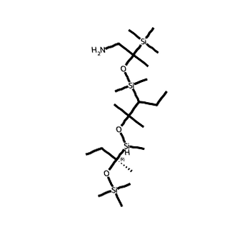 CCC(C(C)(C)O[SiH](C)[C@](C)(CC)O[Si](C)(C)C)[Si](C)(C)OC(C)(CN)[Si](C)(C)C